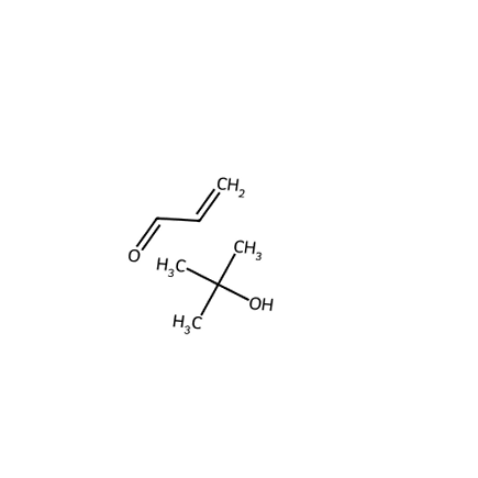 C=CC=O.CC(C)(C)O